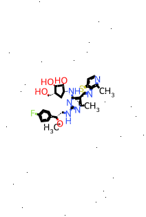 CO[C@@H](CNc1nc(C)c(-c2nc3c(C)nccc3s2)c(N[C@@H]2C[C@H](CO)[C@@H](O)[C@H]2O)n1)c1ccc(F)cc1